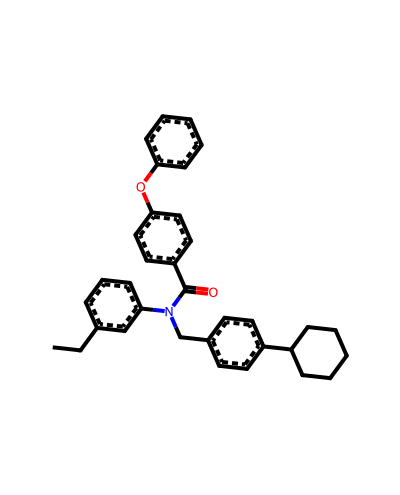 CCc1cccc(N(Cc2ccc(C3CCCCC3)cc2)C(=O)c2ccc(Oc3ccccc3)cc2)c1